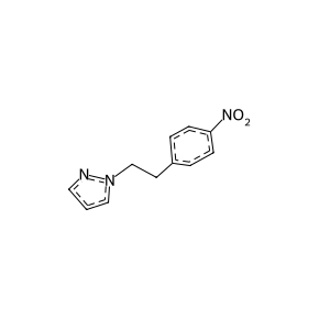 O=[N+]([O-])c1ccc(CCn2cccn2)cc1